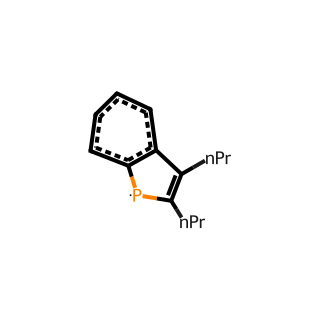 CCCC1=C(CCC)c2ccccc2[P]1